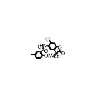 CCn1c(=O)oc2cc(Cl)c(NS(=O)(=O)c3cc(C)ccc3OC)cc21